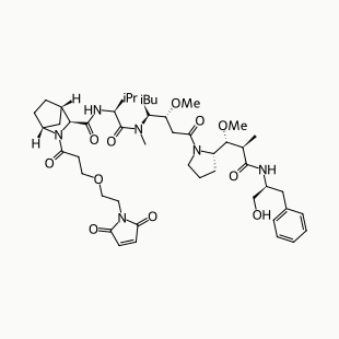 CC[C@H](C)[C@@H]([C@@H](CC(=O)N1CCC[C@H]1[C@H](OC)[C@@H](C)C(=O)N[C@H](CO)Cc1ccccc1)OC)N(C)C(=O)[C@@H](NC(=O)[C@@H]1[C@H]2CC[C@H](C2)N1C(=O)CCOCCN1C(=O)C=CC1=O)C(C)C